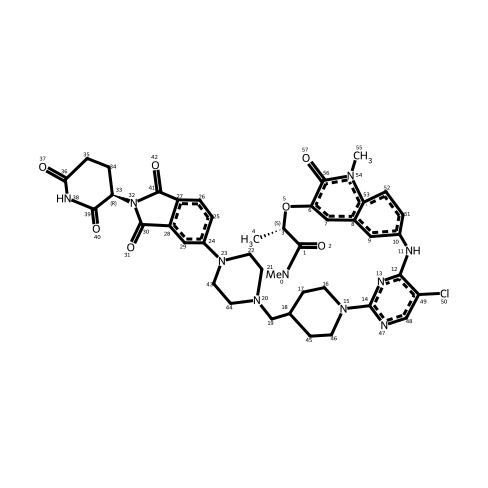 CNC(=O)[C@H](C)Oc1cc2cc(Nc3nc(N4CCC(CN5CCN(c6ccc7c(c6)C(=O)N([C@@H]6CCC(=O)NC6=O)C7=O)CC5)CC4)ncc3Cl)ccc2n(C)c1=O